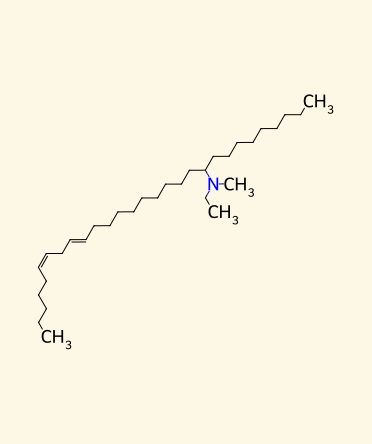 CCCCC/C=C\CC=CCCCCCCCCCC(CCCCCCCCC)N(C)CC